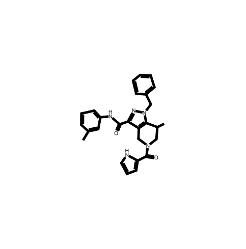 Cc1cccc(NC(=O)c2nn(Cc3ccccc3)c3c2CN(C(=O)c2ccc[nH]2)CC3C)c1